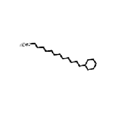 [CH2]CCCCCCCCCCCCCCCCCCCCCC1CCCCC1